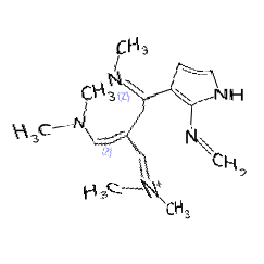 C=Nc1[nH]ccc1C(=N\C)/C(C=[N+](C)C)=C\N(C)C